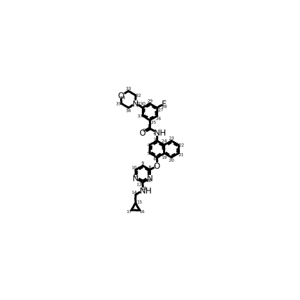 O=C(Nc1ccc(Oc2ccnc(NCC3CC3)n2)c2ccccc12)c1cc(F)cc(N2CCOCC2)c1